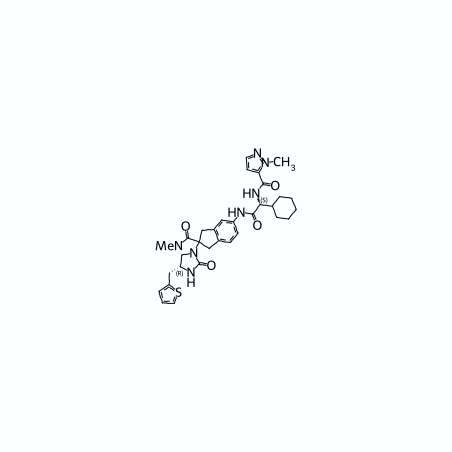 CNC(=O)C1(N2C[C@@H](Cc3cccs3)NC2=O)Cc2ccc(NC(=O)[C@@H](NC(=O)c3ccnn3C)C3CCCCC3)cc2C1